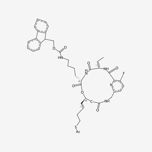 C/C=C1\NC(=O)c2nc(ccc2F)CNC(=O)C[C@@H](/C=C/CCSC(C)=O)OC(=O)[C@H](CCCCNC(=O)OCC2c3ccccc3-c3ccccc32)NC1=O